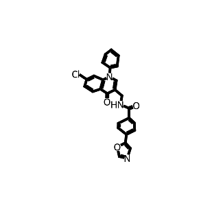 O=C(NCc1cn(-c2ccccc2)c2cc(Cl)ccc2c1=O)c1ccc(-c2cnco2)cc1